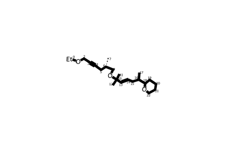 CCOCC#CC[C@H](C)COC(C)(C)/C=C/CC(C)C1CCCCO1